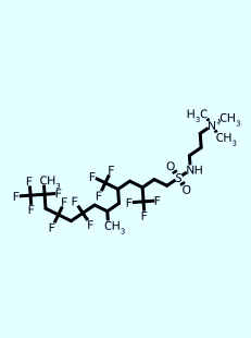 CC(CC(CC(CCS(=O)(=O)NCCC[N+](C)(C)C)C(F)(F)F)C(F)(F)F)CC(F)(F)CC(F)(F)CC(C)(F)C(F)(F)F